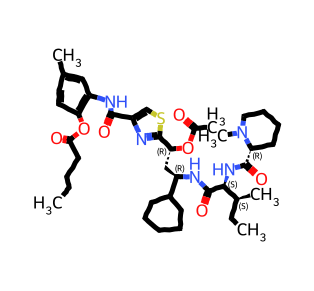 CCCCC(=O)Oc1ccc(C)cc1NC(=O)c1csc([C@@H](C[C@@H](NC(=O)[C@@H](NC(=O)[C@H]2CCCCN2C)[C@@H](C)CC)C2CCCCC2)OC(C)=O)n1